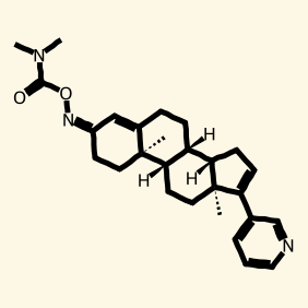 CN(C)C(=O)ON=C1C=C2CC[C@H]3[C@H](CC[C@]4(C)C(c5cccnc5)=CC[C@@H]34)[C@@]2(C)CC1